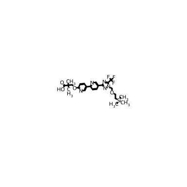 CC(C)(COc1ccc(-c2ccc(-c3nc(C(F)(F)F)n(COCC[Si](C)(C)C)n3)cn2)cn1)C(=O)O